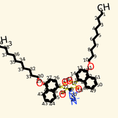 CCCCCCCCCCCOc1ccc(S(=O)(=O)C(=[N+]=[N-])S(=O)(=O)c2ccc(OCCCCCCCCCCC)c3ccccc23)c2ccccc12